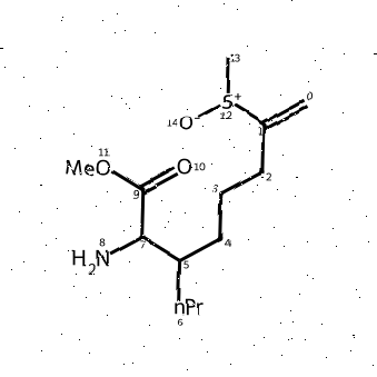 C=C(CCCC(CCC)C(N)C(=O)OC)[S+](C)[O-]